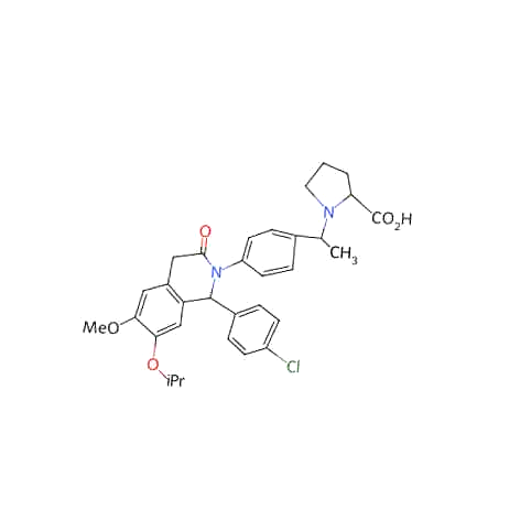 COc1cc2c(cc1OC(C)C)C(c1ccc(Cl)cc1)N(c1ccc(C(C)N3CCCC3C(=O)O)cc1)C(=O)C2